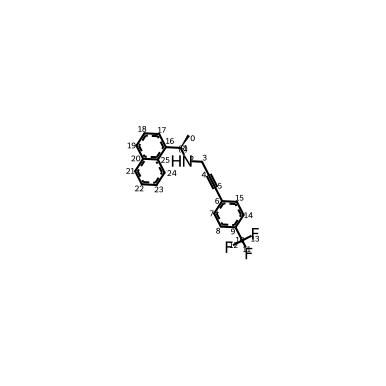 C[C@@H](NCC#Cc1ccc(C(F)(F)F)cc1)c1cccc2ccccc12